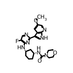 COc1cnc2[nH]cc(-c3ncc(F)c(N[C@H]4CCC[C@@H](NC(=O)N5CCOCC5)C4)n3)c2c1